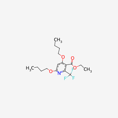 CCCCOc1cc(OCCCC)c(C(=O)OCC)c(C(F)(F)F)n1